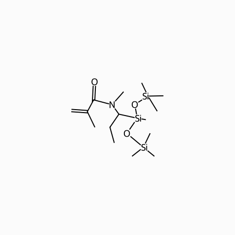 C=C(C)C(=O)N(C)C(CC)[Si](C)(O[Si](C)(C)C)O[Si](C)(C)C